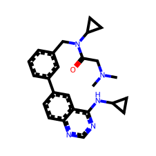 CN(C)CC(=O)N(Cc1cccc(-c2ccc3ncnc(NC4CC4)c3c2)c1)C1CC1